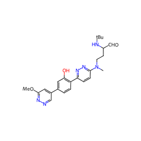 COc1cc(-c2ccc(-c3ccc(N(C)CCC(C=O)NC(C)(C)C)nn3)c(O)c2)cnn1